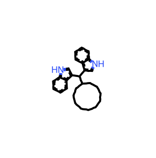 c1ccc2c(C(c3c[nH]c4ccccc34)C3CCCCCCCCCC3)c[nH]c2c1